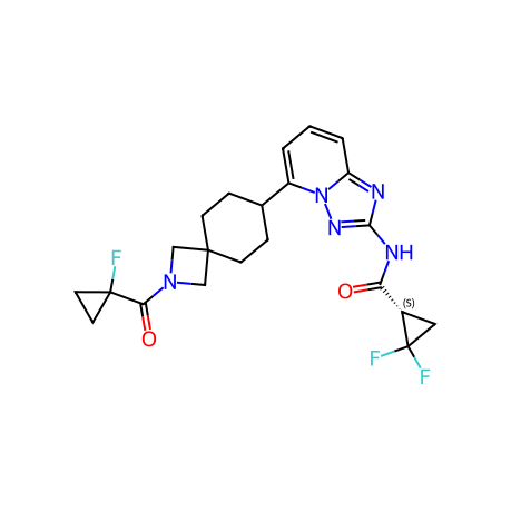 O=C(Nc1nc2cccc(C3CCC4(CC3)CN(C(=O)C3(F)CC3)C4)n2n1)[C@@H]1CC1(F)F